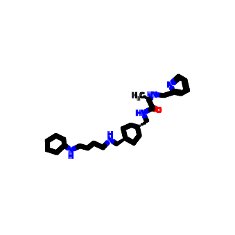 C[C@H](NCc1ccccn1)C(=O)NC[C@H]1CC[C@H](CNCCCCNC2CCCCC2)CC1